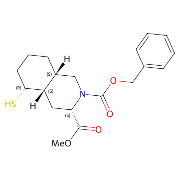 COC(=O)[C@@H]1C[C@H]2[C@H](CCC[C@H]2S)CN1C(=O)OCc1ccccc1